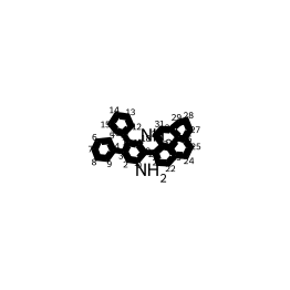 Nc1cc(-c2ccccc2)c(-c2ccccc2)c(N)c1-c1ccc2ccc3cccc4ccc1c2c34